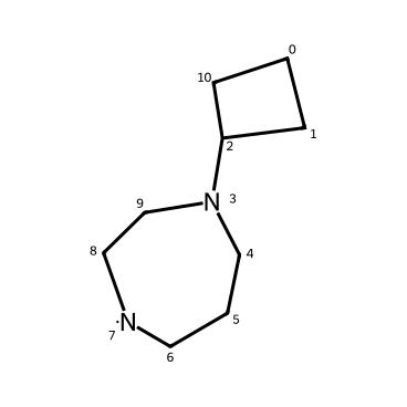 C1CC(N2CCC[N]CC2)C1